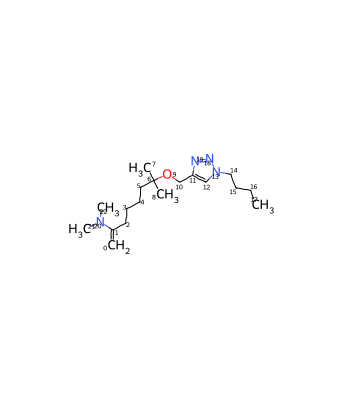 C=C(CCCCC(C)(C)OCc1cn(CCCC)nn1)N(C)C